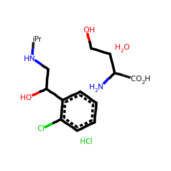 CC(C)NCC(O)c1ccccc1Cl.Cl.NC(CCO)C(=O)O.O